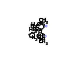 C=[N+](C)/C=C\C1=C(C)[PH](O)(c2ccccc2)C(C)=C1/C=C\[N+](=C)C